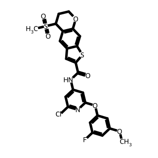 COc1cc(F)cc(Oc2cc(NC(=O)c3cc4cc5c(cc4s3)OCCC5S(C)(=O)=O)cc(Cl)n2)c1